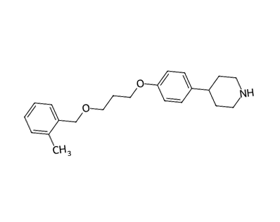 Cc1ccccc1COCCCOc1ccc(C2CCNCC2)cc1